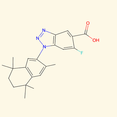 Cc1cc2c(cc1-n1nnc3cc(C(=O)O)c(F)cc31)C(C)(C)CCC2(C)C